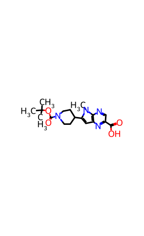 Cn1c(C2CCN(C(=O)OC(C)(C)C)CC2)cc2nc(C(=O)O)cnc21